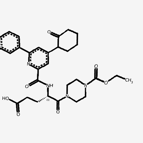 CCOC(=O)N1CCN(C(=O)[C@H](CCC(=O)O)NC(=O)c2cc(C3CCCCC3=O)cc(-c3ccccc3)n2)CC1